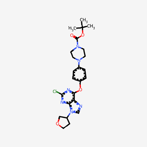 CC(C)(C)OC(=O)N1CCN(c2ccc(Oc3nc(Cl)nc4c3ncn4C3CCOC3)cc2)CC1